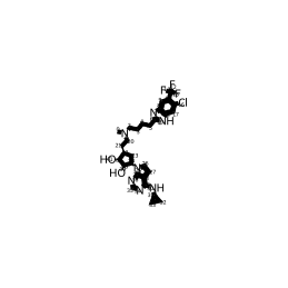 CN(CCCCc1nc2cc(C(F)(F)F)c(Cl)cc2[nH]1)CC[C@H]1C[C@@H](n2ccc3c(NC4CC4)ncnc32)[C@H](O)[C@@H]1O